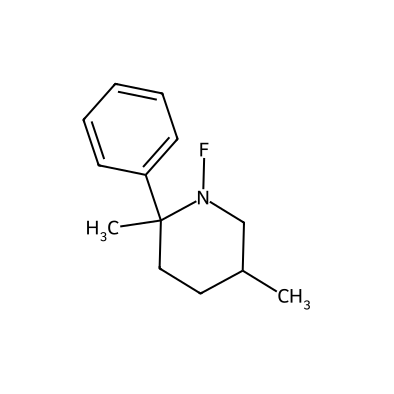 CC1CCC(C)(c2ccccc2)N(F)C1